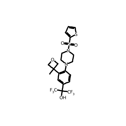 CC1(c2cc(C(O)(C(F)(F)F)C(F)(F)F)ccc2N2CCN(S(=O)(=O)c3cccs3)CC2)COC1